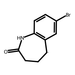 O=C1CC[CH]c2cc(Br)ccc2N1